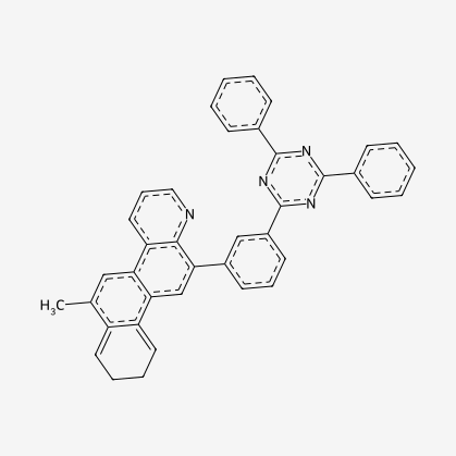 Cc1cc2c(cc(-c3cccc(-c4nc(-c5ccccc5)nc(-c5ccccc5)n4)c3)c3ncccc32)c2c1=CCCC=2